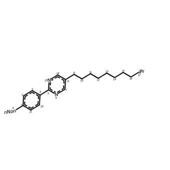 CCCCCCCCCc1ccc(-c2ncc(CCCCCCCCC(C)C)cn2)cc1